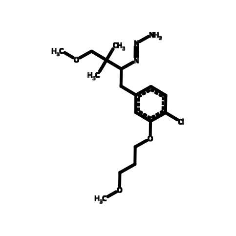 COCCCOc1cc(CC(N=NN)C(C)(C)COC)ccc1Cl